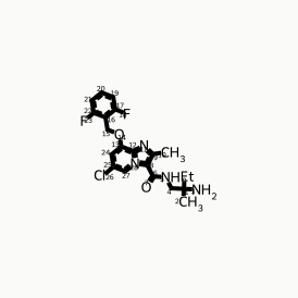 CCC(C)(N)CNC(=O)c1c(C)nc2c(OCc3c(F)cccc3F)cc(Cl)cn12